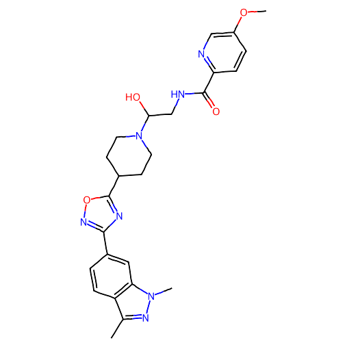 COc1ccc(C(=O)NCC(O)N2CCC(c3nc(-c4ccc5c(C)nn(C)c5c4)no3)CC2)nc1